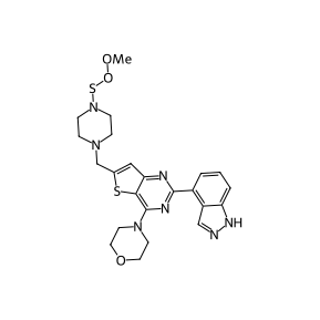 COOSN1CCN(Cc2cc3nc(-c4cccc5[nH]ncc45)nc(N4CCOCC4)c3s2)CC1